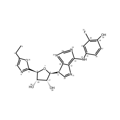 CCc1cnc([C@H]2O[C@@H](n3cnc4c(Nc5ccc(O)c(F)c5)ncnc43)[C@H](O)[C@@H]2O)o1